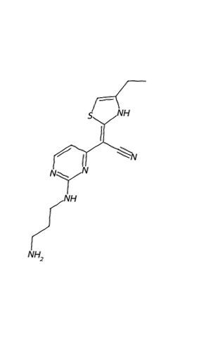 CCC1=CSC(=C(C#N)c2ccnc(NCCCN)n2)N1